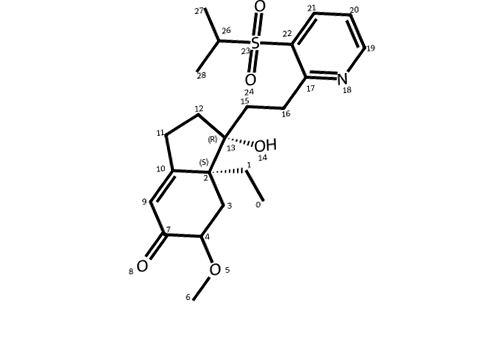 CC[C@]12CC(OC)C(=O)C=C1CC[C@@]2(O)CCc1ncccc1S(=O)(=O)C(C)C